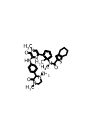 Cc1c(-c2cn(C)c(=O)c(Nc3ccc(C4C(=O)N(C)CCN4C)cc3)n2)cccc1N(C)C(=O)c1cc2c(s1)CCCC2